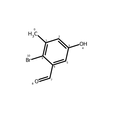 Cc1cc(O)cc(C=O)c1Br